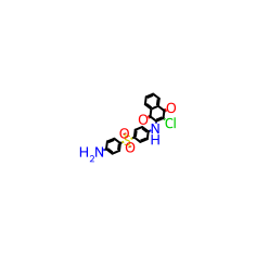 Nc1ccc(S(=O)(=O)c2ccc(NC3=C(Cl)C(=O)c4ccccc4C3=O)cc2)cc1